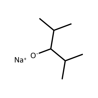 CC(C)C([O-])C(C)C.[Na+]